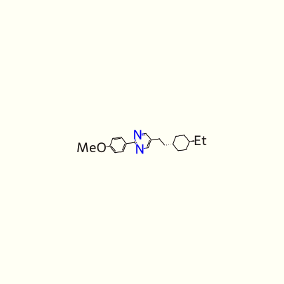 CC[C@H]1CC[C@H](CCc2cnc(-c3ccc(OC)cc3)nc2)CC1